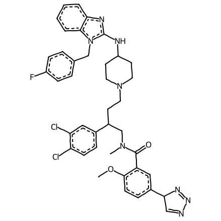 COc1ccc(C2C=NN=N2)cc1C(=O)N(C)CC(CCN1CCC(Nc2nc3ccccc3n2Cc2ccc(F)cc2)CC1)c1ccc(Cl)c(Cl)c1